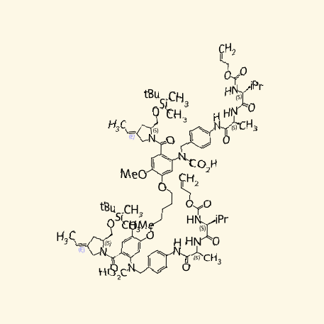 C=CCOC(=O)N[C@H](C(=O)N[C@@H](C)C(=O)Nc1ccc(CN(C(=O)O)c2cc(OCCCCCOc3cc(N(Cc4ccc(NC(=O)[C@H](C)NC(=O)[C@@H](NC(=O)OCC=C)C(C)C)cc4)C(=O)O)c(C(=O)N4C/C(=C/C)C[C@H]4CO[Si](C)(C)C(C)(C)C)cc3OC)c(OC)cc2C(=O)N2C/C(=C/C)C[C@H]2CO[Si](C)(C)C(C)(C)C)cc1)C(C)C